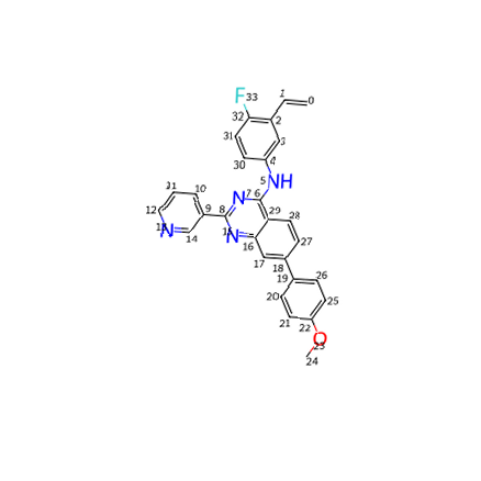 C=Cc1cc(Nc2nc(-c3cccnc3)nc3cc(-c4ccc(OC)cc4)ccc23)ccc1F